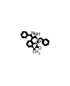 Cn1c(=O)n(C)c2c(-c3c(-c4ccccc4)n[nH]c3NCc3ccccc3)cccc21